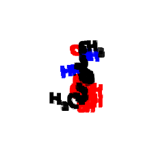 CC(=O)NCCc1c[nH]c2c(OC3OC(C)C(O)C(O)C3O)cccc12